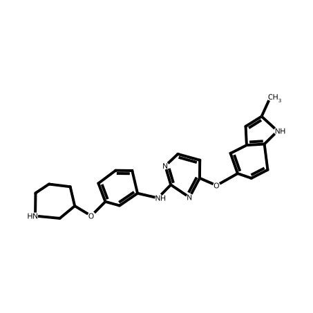 Cc1cc2cc(Oc3ccnc(Nc4cccc(OC5CCCNC5)c4)n3)ccc2[nH]1